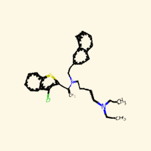 C=C(c1sc2ccccc2c1Cl)N(CCCCN(CC)CC)Cc1ccc2ccccc2c1